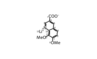 COc1ccc2cc(C(=O)[O-])cnc2c1OC.[Li+]